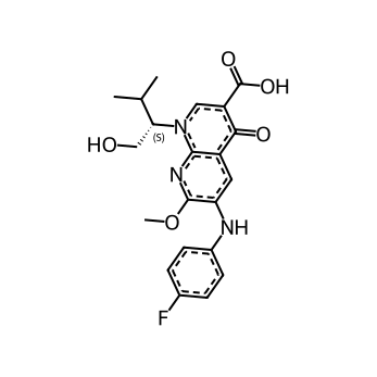 COc1nc2c(cc1Nc1ccc(F)cc1)c(=O)c(C(=O)O)cn2[C@H](CO)C(C)C